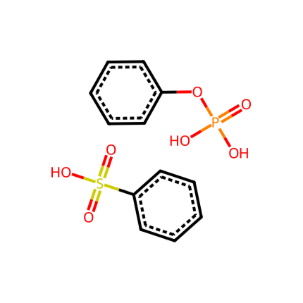 O=P(O)(O)Oc1ccccc1.O=S(=O)(O)c1ccccc1